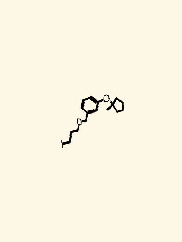 CC1(Oc2cccc(COCCCI)c2)CCCC1